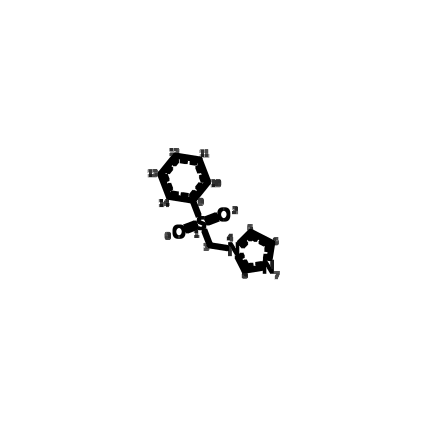 O=S(=O)(Cn1ccnc1)c1ccccc1